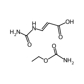 CCOC(N)=O.NC(=O)NC=CC(=O)O